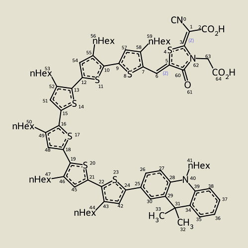 [C-]#[N+]/C(C(=O)O)=c1\s/c(=C\c2sc(-c3sc(-c4sc(-c5sc(-c6sc(-c7sc(-c8ccc9c(c8)C(C)(C)c8ccccc8N9CCCCCC)cc7CCCCCC)cc6CCCCCC)cc5CCCCCC)cc4CCCCCC)cc3CCCCCC)cc2CCCCCC)c(=O)n1CC(=O)O